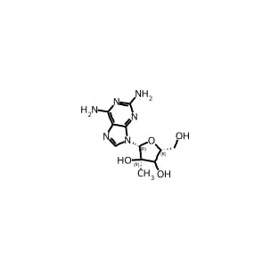 C[C@@]1(O)C(O)[C@@H](CO)O[C@H]1n1cnc2c(N)nc(N)nc21